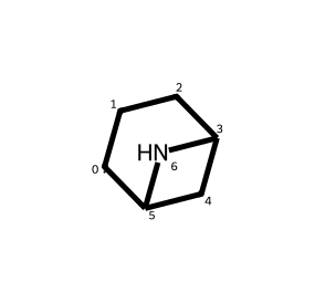 [CH]1CCC2CC1N2